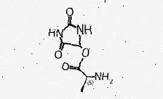 C[C@H](N)C(=O)OC1NC(=O)NC1=O